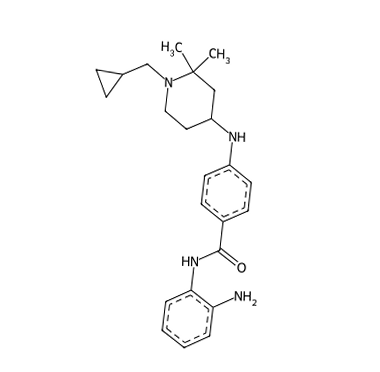 CC1(C)CC(Nc2ccc(C(=O)Nc3ccccc3N)cc2)CCN1CC1CC1